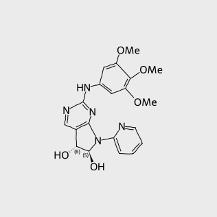 COc1cc(Nc2ncc3c(n2)N(c2ccccn2)[C@@H](O)[C@@H]3O)cc(OC)c1OC